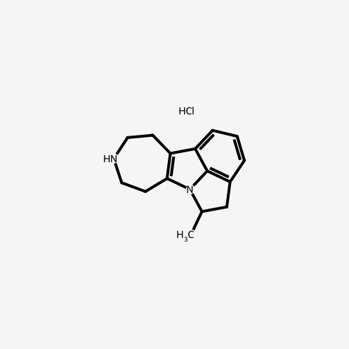 CC1Cc2cccc3c4c(n1c23)CCNCC4.Cl